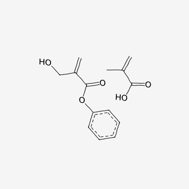 C=C(C)C(=O)O.C=C(CO)C(=O)Oc1ccccc1